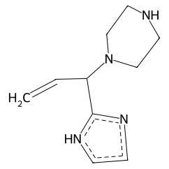 C=CC(c1ncc[nH]1)N1CCNCC1